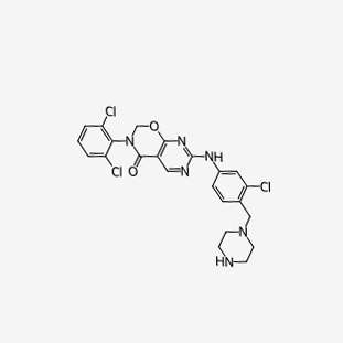 O=C1c2cnc(Nc3ccc(CN4CCNCC4)c(Cl)c3)nc2OCN1c1c(Cl)cccc1Cl